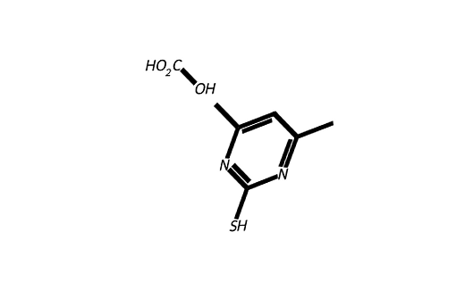 Cc1cc(C)nc(S)n1.O=C(O)O